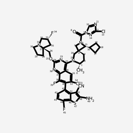 C[C@H]1CC[C@]2(CN(C(=O)n3cnc(Cl)n3)[C@@H]2C2CCC2)CN1c1nc(OC[C@@]23CCCN2C[C@H](F)C3)nc2c(F)c(-c3ccc(F)c4sc(N)c(C#N)c34)c(Cl)cc12